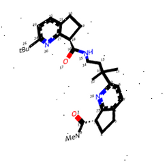 CNC(=O)[C@H]1CCc2ccc(C(C)(C)CCNC(=O)[C@@H]3CCc4ccc(C(C)(C)C)nc43)nc21